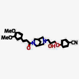 COc1ccc(C=CC(=O)N2CC3CC(CN(CC(O)COc4ccc(C#N)cc4)C3)C2)cc1OC